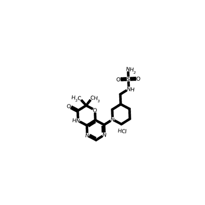 CC1(C)Oc2c(ncnc2N2CCCC(CNS(N)(=O)=O)C2)NC1=O.Cl